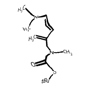 C=C(/C=C\N(C)C)N(C)C(=O)OC(C)(C)C